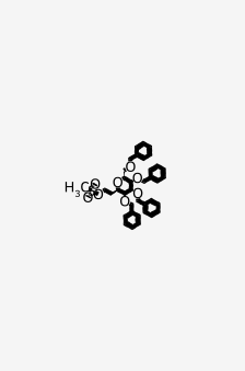 CS(=O)(=O)OCC[C@H]1O[C@H](COCc2ccccc2)[C@@H](OCc2ccccc2)[C@H](OCc2ccccc2)[C@@H]1OCc1ccccc1